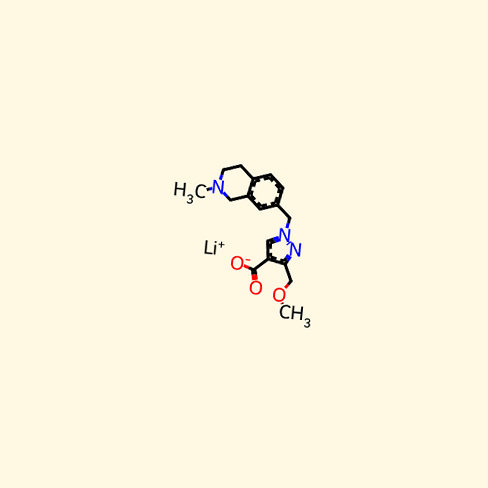 COCc1nn(Cc2ccc3c(c2)CN(C)CC3)cc1C(=O)[O-].[Li+]